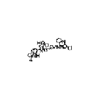 O=C(O)c1sc(-c2ccnc(NC(=O)C3CC3)c2)nc1OCCOCCNc1c2c(nc3cc(Cl)ccc13)CCCC2